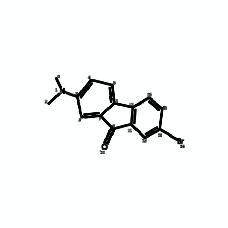 CN(C)c1ccc2c(c1)C(=O)c1cc(Br)ccc1-2